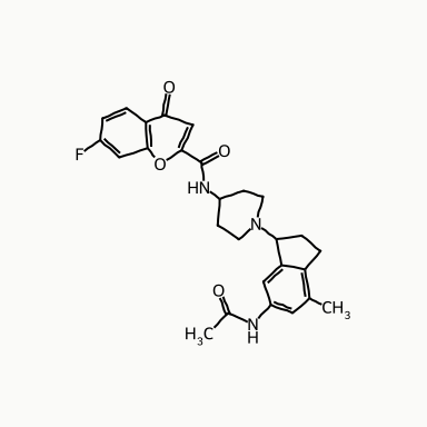 CC(=O)Nc1cc(C)c2c(c1)C(N1CCC(NC(=O)c3cc(=O)c4ccc(F)cc4o3)CC1)CC2